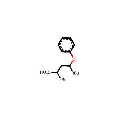 CC(C)(C)C(CC(C(=O)O)C(C)(C)C)Oc1ccccc1